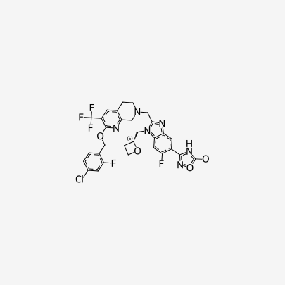 O=c1[nH]c(-c2cc3nc(CN4CCc5cc(C(F)(F)F)c(OCc6ccc(Cl)cc6F)nc5C4)n(C[C@@H]4CCO4)c3cc2F)no1